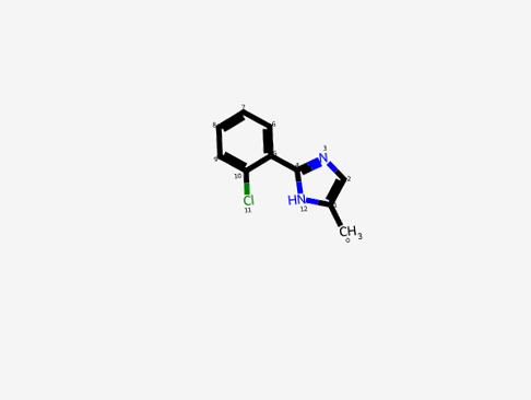 Cc1cnc(-c2cc[c]cc2Cl)[nH]1